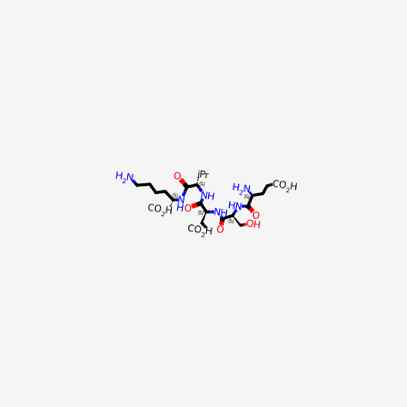 CC(C)[C@H](NC(=O)[C@H](CC(=O)O)NC(=O)[C@H](CO)NC(=O)[C@@H](N)CCC(=O)O)C(=O)N[C@@H](CCCCN)C(=O)O